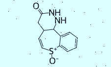 O=C1CC2C=C[S+]([O-])c3ccccc3C2NN1